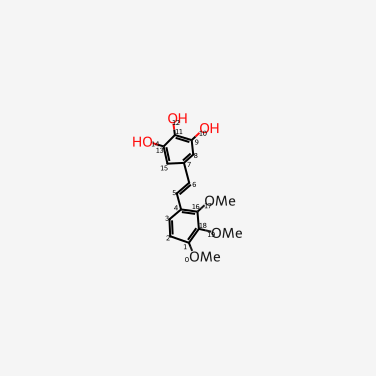 COc1ccc(C=Cc2cc(O)c(O)c(O)c2)c(OC)c1OC